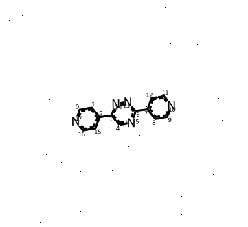 c1cc(-c2cnc(-c3ccncc3)nn2)ccn1